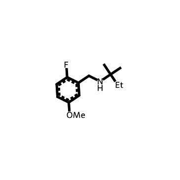 CCC(C)(C)NCc1cc(OC)ccc1F